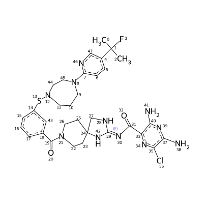 CC(C)(F)c1ccc(N2CCCN(Sc3cccc(C(=O)N4CCC5(CC4)CN/C(=N\C(=O)c4nc(Cl)c(N)nc4N)N5)c3)CC2)nc1